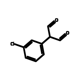 O=CC(C=O)c1cccc(Cl)c1